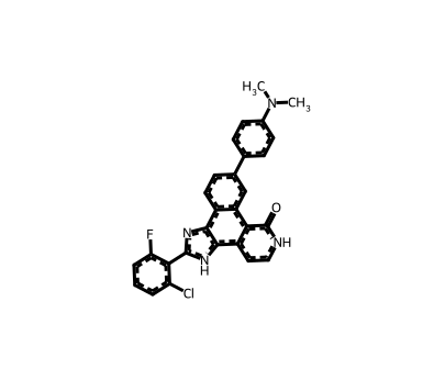 CN(C)c1ccc(-c2ccc3c(c2)c2c(=O)[nH]ccc2c2[nH]c(-c4c(F)cccc4Cl)nc32)cc1